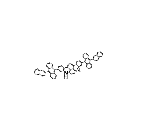 CN1c2cc(-c3c4ccccc4c(-c4ccc5ccccc5c4)c4ccccc34)ccc2-c2ccc3c4c(ccc1c24)Nc1cc(-c2c4ccccc4c(-c4ccc5ccccc5c4)c4ccccc24)ccc1-3